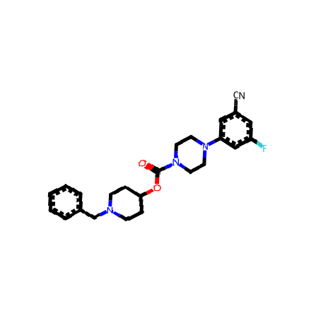 N#Cc1cc(F)cc(N2CCN(C(=O)OC3CCN(Cc4ccccc4)CC3)CC2)c1